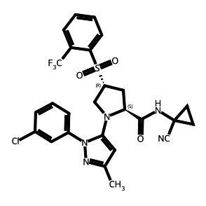 Cc1cc(N2C[C@H](S(=O)(=O)c3ccccc3C(F)(F)F)C[C@H]2C(=O)NC2(C#N)CC2)n(-c2cccc(Cl)c2)n1